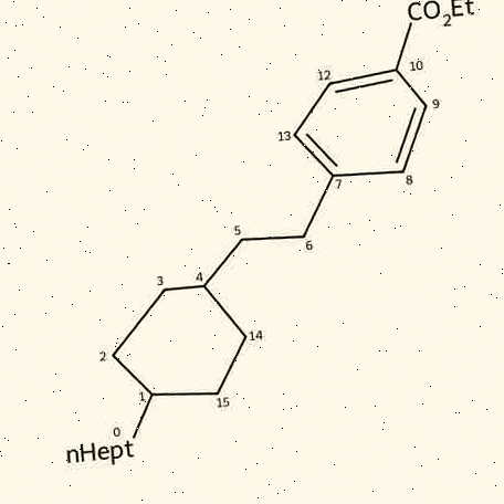 CCCCCCCC1CCC(CCc2ccc(C(=O)OCC)cc2)CC1